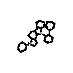 c1ccc(-c2ccccc2-n2c3ccccc3c3ccc4c(ccn4-c4ccccc4)c32)cc1